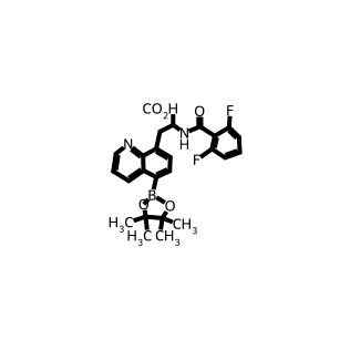 CC1(C)OB(c2ccc(CC(NC(=O)c3c(F)cccc3F)C(=O)O)c3ncccc23)OC1(C)C